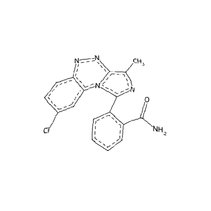 Cc1nc(-c2ccccc2C(N)=O)n2c1nnc1ccc(Cl)cc12